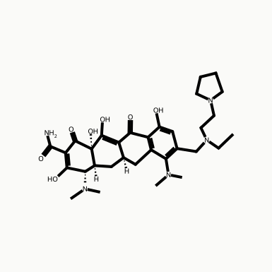 CCN(CCN1CCCC1)Cc1cc(O)c2c(c1N(C)C)C[C@H]1C[C@H]3[C@H](N(C)C)C(O)=C(C(N)=O)C(=O)[C@@]3(O)C(O)=C1C2=O